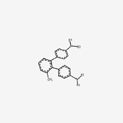 CCN(CC)c1ccc(-c2cccc(C)c2-c2ccc(N(CC)CC)cc2)cc1